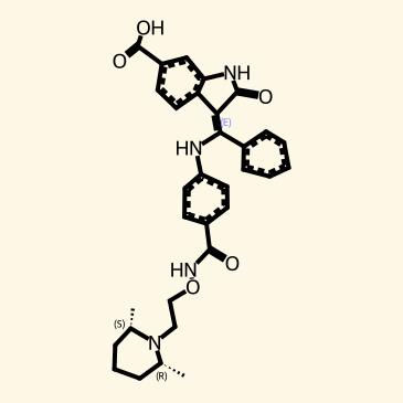 C[C@@H]1CCC[C@H](C)N1CCONC(=O)c1ccc(N/C(=C2/C(=O)Nc3cc(C(=O)O)ccc32)c2ccccc2)cc1